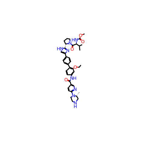 CCOc1cc(NC(=O)c2ccc(N3CCNC[C@H]3C)nc2)ccc1-c1ccc(-c2c[nH]c([C@@H]3CCCN3C(=O)[C@@H](NC(=O)OC)C(C)C)n2)cc1